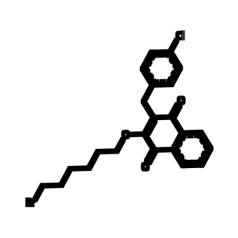 O=C1C(Cc2ccc(Cl)cc2)=C(OCCCCCCBr)C(=O)c2ccccc21